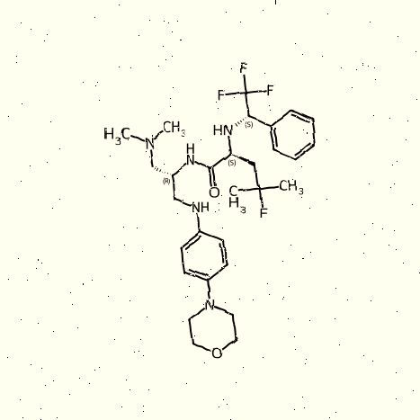 CN(C)C[C@@H](CNc1ccc(N2CCOCC2)cc1)NC(=O)[C@H](CC(C)(C)F)N[C@@H](c1ccccc1)C(F)(F)F